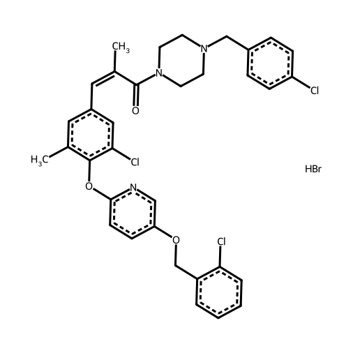 Br.CC(=Cc1cc(C)c(Oc2ccc(OCc3ccccc3Cl)cn2)c(Cl)c1)C(=O)N1CCN(Cc2ccc(Cl)cc2)CC1